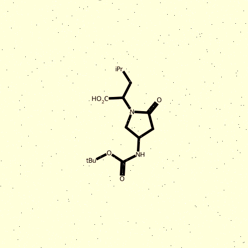 CC(C)CC(C(=O)O)N1CC(NC(=O)OC(C)(C)C)CC1=O